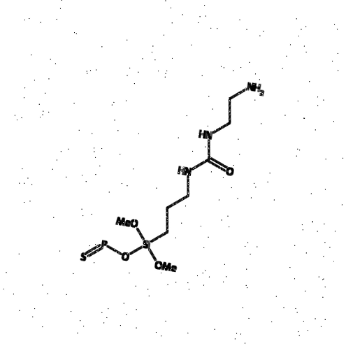 CO[Si](CCCNC(=O)NCCN)(OC)OP=S